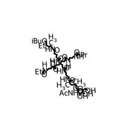 CCC(=O)NCCCNC(=O)CCC(CCC(=O)NCCCNC(=O)C(C)C)(CCC(=O)NCCCNC(=O)C(C)CC(C)COC1OC(CO)C(O)C(O)C1NC(C)=O)NC(=O)CCCC(=O)NCC(C)CC(CC)COCC(C)C